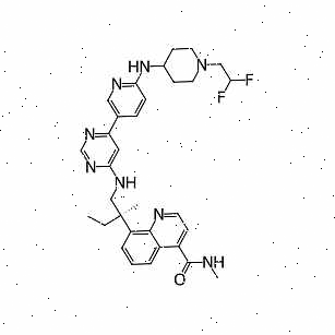 CC[C@@](C)(CNc1cc(-c2ccc(NC3CCN(CC(F)F)CC3)nc2)ncn1)c1cccc2c(C(=O)NC)ccnc12